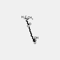 CCN(CC)CCCC(=O)OCCCCCCCCCCC1=CC(=O)OC1O